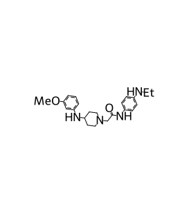 CCNc1ccc(NC(=O)CN2CCC(Nc3cccc(OC)c3)CC2)cc1